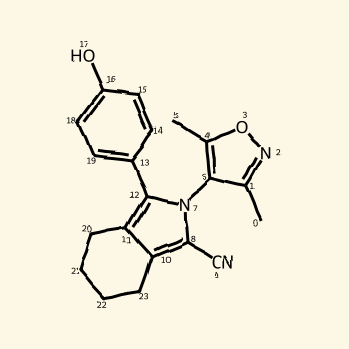 Cc1noc(C)c1-n1c(C#N)c2c(c1-c1ccc(O)cc1)CCCC2